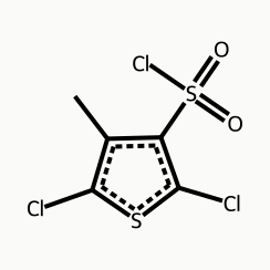 Cc1c(Cl)sc(Cl)c1S(=O)(=O)Cl